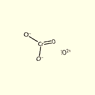 [O+2].[O]=[Cr]([O-])[O-]